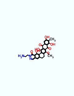 COc1c2c(c(O)c3c1C(=O)c1c(cc(O)c(C)c1O)C3=O)-c1c(cc3cnn(CCN)c(=O)c3c1O)CC2